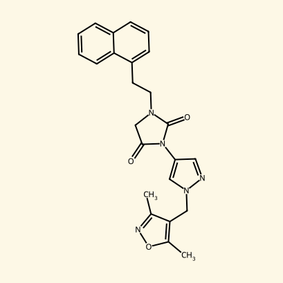 Cc1noc(C)c1Cn1cc(N2C(=O)CN(CCc3cccc4ccccc34)C2=O)cn1